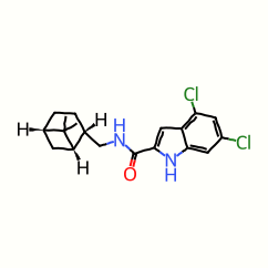 CC1(C)[C@H]2CC[C@H](CNC(=O)c3cc4c(Cl)cc(Cl)cc4[nH]3)[C@@H]1C2